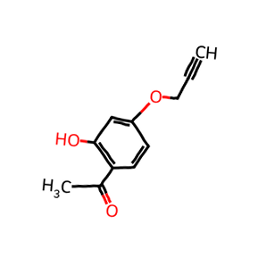 C#CCOc1ccc(C(C)=O)c(O)c1